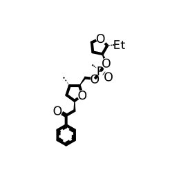 CC[C@H]1OCC[C@@H]1O[P@@](C)(=O)OC[C@H]1O[C@@H](CC(=O)c2ccccc2)C[C@@H]1C